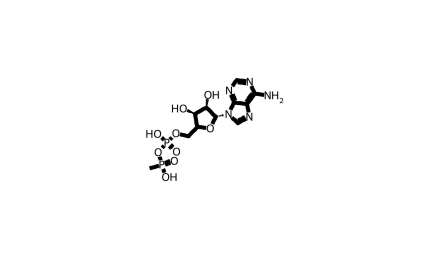 CP(=O)(O)OP(=O)(O)OCC1O[C@@H](n2cnc3c(N)ncnc32)[C@H](O)[C@@H]1O